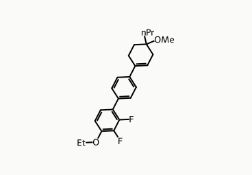 CCCC1(OC)CC=C(c2ccc(-c3ccc(OCC)c(F)c3F)cc2)CC1